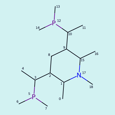 CC1C(C(C)P(C)C)CC(C(C)P(C)C)C(C)N1C